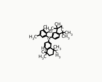 Cc1cc(Cl)c(Cl)c(N(c2ccc3c(c2)C(C)(C)CCC3(C)C)c2ccc3c(c2)C(C)(C)CCC3(C)C)c1